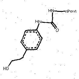 CCCCCNC(=O)Nc1ccc(CCO)cc1